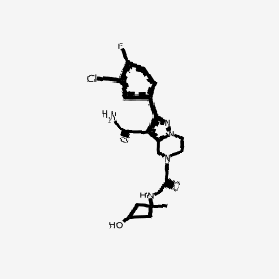 CC1(NC(=O)N2CCn3nc(-c4ccc(F)c(Cl)c4)c(C(N)=O)c3C2)CC(O)C1